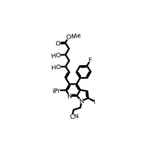 COC(=O)CC(O)CC(O)C=Cc1c(C(C)C)nc2c(cc(I)n2CCC#N)c1-c1ccc(F)cc1